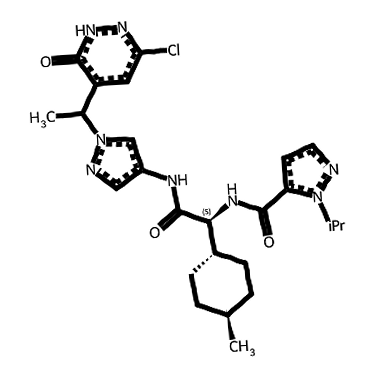 CC(c1cc(Cl)n[nH]c1=O)n1cc(NC(=O)[C@@H](NC(=O)c2ccnn2C(C)C)[C@H]2CC[C@H](C)CC2)cn1